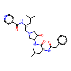 CC(C)C[C@@H](CN1CC(=O)C(NC(=O)[C@H](CC(C)C)NC(=O)Cc2ccccc2)C1)NC(=O)c1ccncc1